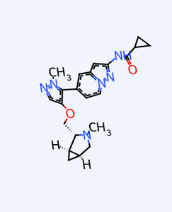 CN1C[C@H]2C[C@H]2[C@@H]1COc1cnn(C)c1-c1ccn2nc(NC(=O)C3CC3)cc2c1